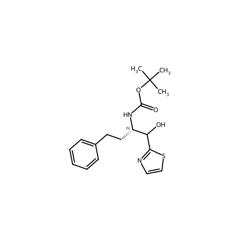 CC(C)(C)OC(=O)N[C@@H](CCc1ccccc1)C(O)c1nccs1